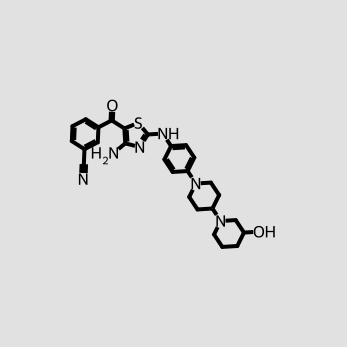 N#Cc1cccc(C(=O)c2sc(Nc3ccc(N4CCC(N5CCCC(O)C5)CC4)cc3)nc2N)c1